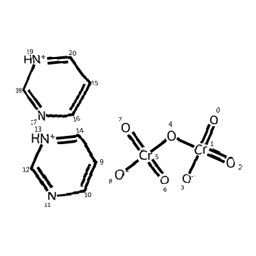 [O]=[Cr](=[O])([O-])[O][Cr](=[O])(=[O])[O-].c1cnc[nH+]c1.c1cnc[nH+]c1